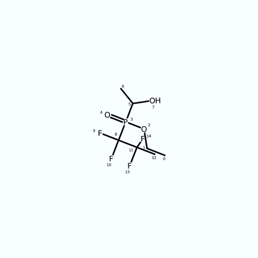 CCOP(=O)(C(C)O)C(F)(F)C(C)(F)F